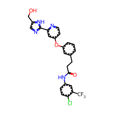 O=C(CCc1cccc(Oc2ccnc(-c3ncc(CO)[nH]3)c2)c1)Nc1ccc(Cl)c(C(F)(F)F)c1